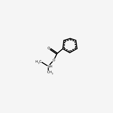 C[SiH](C)OC(=O)c1ccccc1